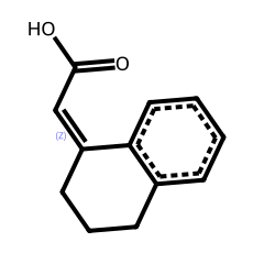 O=C(O)/C=C1/CCCc2ccccc21